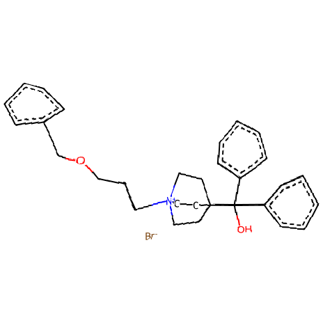 OC(c1ccccc1)(c1ccccc1)C12CC[N+](CCCOCc3ccccc3)(CC1)CC2.[Br-]